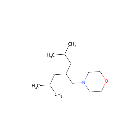 CC(C)[CH]C(CC(C)C)CN1CCOCC1